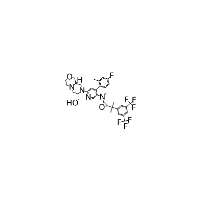 Cc1cc(F)ccc1-c1cc(N2C[C@H]3COCCN3C[C@H]2CO)ncc1N(C)C1OC1C(C)(C)c1cc(C(F)(F)F)cc(C(F)(F)F)c1